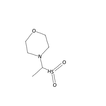 CC(N1CCOCC1)[SH](=O)=O